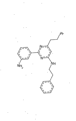 CC(C)CCc1cc(NCCc2ccccc2)nc(-c2cccc(N)c2)n1